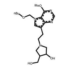 CCCCOCn1cc(CCN2CC(O)C(CO)C2)c2ncnc(OC)c21